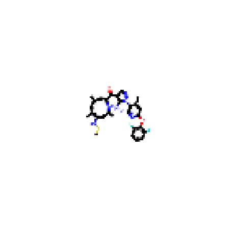 CSNc1cc(C)[nH]c(C(=O)c2cnn(C3=CNC(Oc4c(F)cccc4F)C=C3C)c2N)cc(C)cc1C